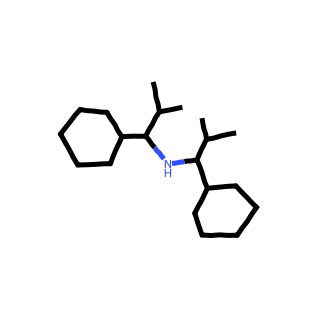 CC(C)C(NC(C(C)C)C1CCCCC1)C1CCCCC1